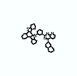 c1cc(-c2nc(-c3ccc4ccccc4c3)c3cccnc3n2)cc(-n2c3ccccc3c3c4ccccc4c4sc5ccccc5c4c32)c1